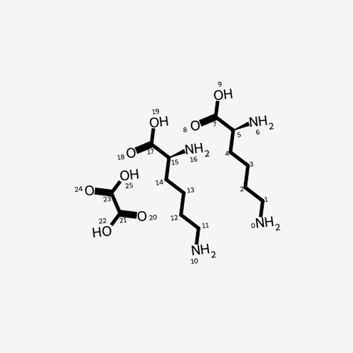 NCCCC[C@H](N)C(=O)O.NCCCC[C@H](N)C(=O)O.O=C(O)C(=O)O